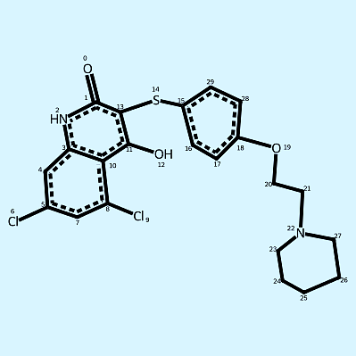 O=c1[nH]c2cc(Cl)cc(Cl)c2c(O)c1Sc1ccc(OCCN2CCCCC2)cc1